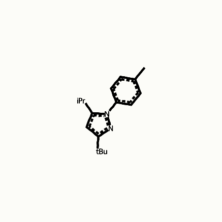 Cc1ccc(-n2nc(C(C)(C)C)cc2C(C)C)cc1